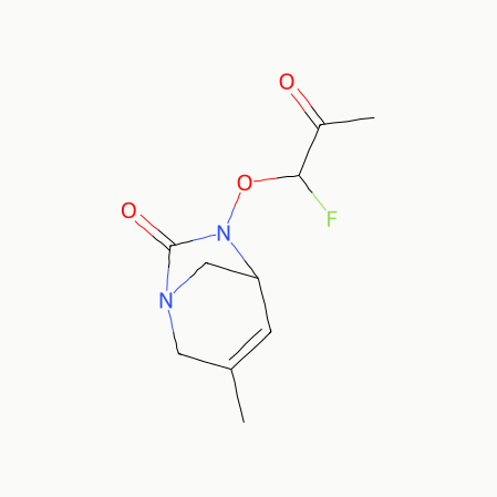 CC(=O)C(F)ON1C(=O)N2CC(C)=CC1C2